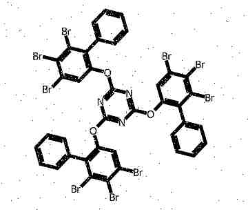 Brc1cc(Oc2nc(Oc3cc(Br)c(Br)c(Br)c3-c3ccccc3)nc(Oc3cc(Br)c(Br)c(Br)c3-c3ccccc3)n2)c(-c2ccccc2)c(Br)c1Br